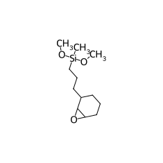 CO[Si](C)(CCCC1CCCC2OC12)OC